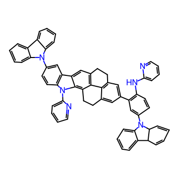 C1=CC2c3ccccc3N(c3ccc(Nc4ccccn4)c(-c4cc5c6c(c4)CCc4c-6c(cc6c7cc(-n8c9ccccc9c9ccccc98)ccc7n(-c7ccccn7)c46)CC5)c3)C2C=C1